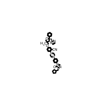 C[C@]1(COc2ccc(N3CCN(c4ccc(-n5cnn(CC6CCCC6)c5=O)cc4)CC3)c(C#N)c2)CO[C@](Cn2nccn2)(c2ccccc2)C1